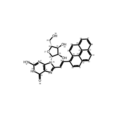 Nc1nc2c(nc(C=Cc3ccc4ccc5cccc6ccc3c4c56)n2[C@@H]2O[C@H](CO)[C@@H](O)[C@H]2O)c(=O)[nH]1